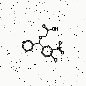 O=C(O)COC(c1ccccc1)c1ccc(Cl)c([N+](=O)[O-])c1